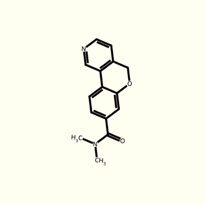 CN(C)C(=O)c1ccc2c(c1)OCc1ccncc1-2